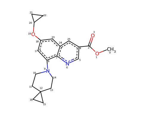 COC(=O)c1cnc2c(N3CCC4(CC3)CC4)cc(OC3CC3)cc2c1